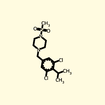 CC(C)c1c(Cl)cc(CN2CCN(S(C)(=O)=O)CC2)cc1Cl